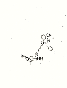 CC(C)Oc1ccc(C2(C)CN(CCCCCCOc3c(Cc4ccccc4)cnc4c(C(F)(F)F)cccc34)CN2)cc1F